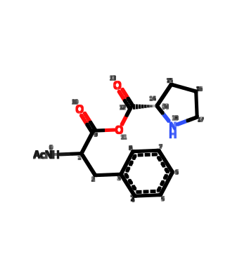 CC(=O)NC(Cc1[c]cccc1)C(=O)OC(=O)[C@@H]1CCCN1